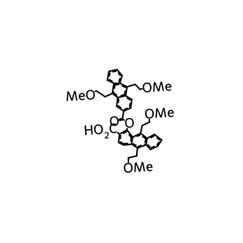 COCCc1c2ccccc2c(CCOC)c2cc(C(=O)Oc3c(C(=O)O)ccc4c(CCOC)c5ccccc5c(CCOC)c34)ccc12